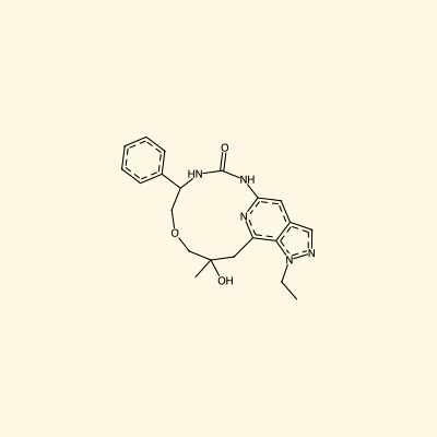 CCn1ncc2cc3nc(c21)CC(C)(O)COCC(c1ccccc1)NC(=O)N3